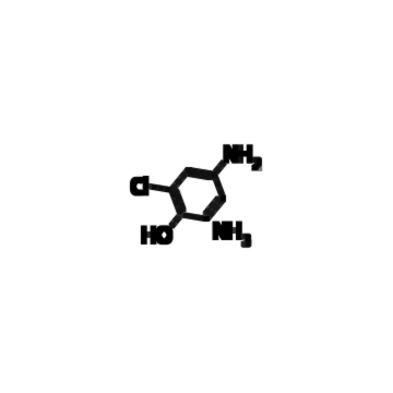 N.Nc1ccc(O)c(Cl)c1